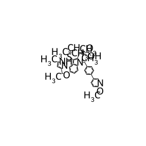 COc1ccc(-c2ccc(Cn3c(CC(C)(C)C(=O)O)c(SC(C)(C)C)c4cc(OC(C)c5cc(C)[nH]n5)ccc43)cc2)cn1